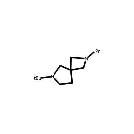 CC(C)N1CC2(CCN(C(C)(C)C)C2)C1